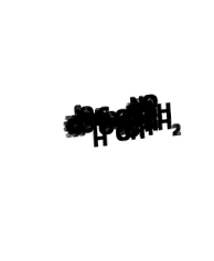 C[C@@H](OC(=O)[C@H]1CSP(=O)(OCC2O[C@@H](n3cnc4c(=O)[nH]c(N)nc43)[C@](C)(O)[C@@H]2O)N1)c1ccccc1